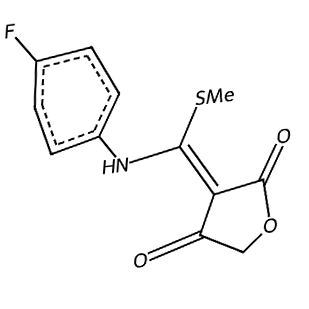 CSC(Nc1ccc(F)cc1)=C1C(=O)COC1=O